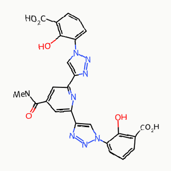 CNC(=O)c1cc(-c2cn(-c3cccc(C(=O)O)c3O)nn2)nc(-c2cn(-c3cccc(C(=O)O)c3O)nn2)c1